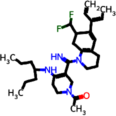 C=C/C(=C\C)C1=CC2=C(CC1C(F)F)N(C(=N)C1=C(NC(CCC)CCC)CCN(C(C)=O)C1)CCC2